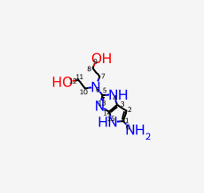 Nc1cc2[nH]c(N(CCO)CCO)nc2[nH]1